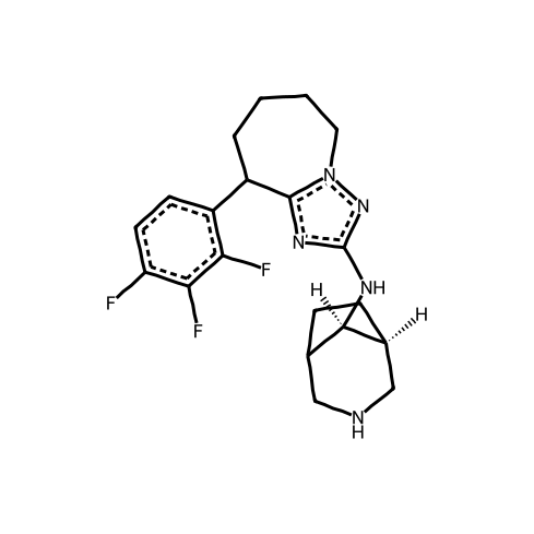 Fc1ccc(C2CCCCn3nc(N[C@@H]4C5CC[C@H]4CNC5)nc32)c(F)c1F